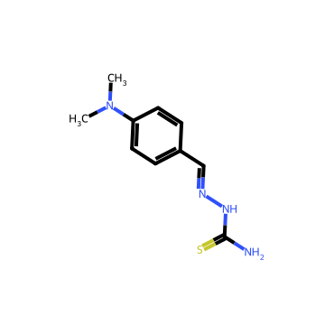 CN(C)c1ccc(C=NNC(N)=S)cc1